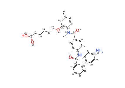 Cc1ccc(N(C)C(=O)c2ccc(NC(=O)c3ccccc3-c3ccc(N)cc3)cc2)c(OCCCCCC(=O)O)c1